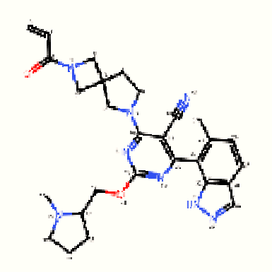 C=CC(=O)N1CC2(CCN(c3nc(OCC4CCCN4C)nc(-c4c(C)ccc5cn[nH]c45)c3C#N)C2)C1